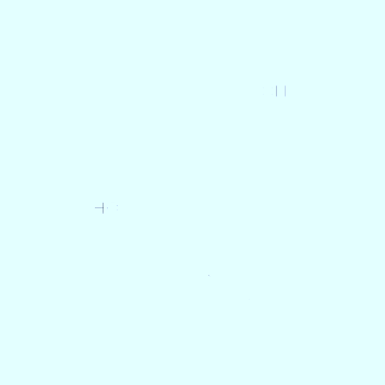 OC1C=CC(O)CC2C=CC(CC2)C1